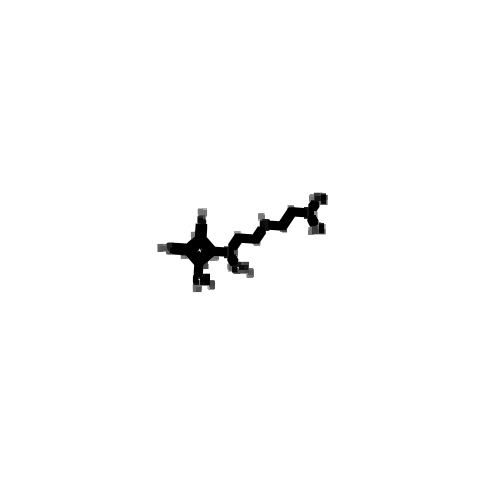 CCN(CC)CCOCCN(C)c1c(C)c(=S)c1=S